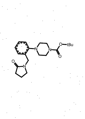 CC(C)(C)OC(=O)N1CCN(c2ccccc2CN2CCCC2=O)CC1